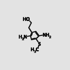 CSc1cc(N)c(CCO)cc1N